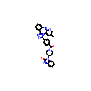 CC1C=C2C(=NC1)Nc1ccccc1-c1nnc(-c3ccc(C(=O)N4CCC(n5c(=O)[nH]c6ccccc65)CC4)cc3)n12